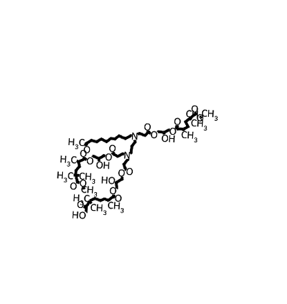 COC(=O)C(C)(C)CCC(C)C(=O)OCC(O)COC(=O)CCN(CCCCCCCCCC(C)=O)CCCN(CCC(=O)OCC(O)COC(=O)C(C)CCCC(C)(C)C(=O)CO)CCC(=O)OCC(O)COC(=O)C(C)CCC(C)(C)C(=O)OC